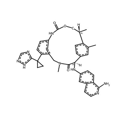 Cc1cc2ccc1[C@@H](C)COC(=O)Nc1ccc(C3(c4ncn[nH]4)CC3)c(c1)CN(C)C(=O)[C@@H]2Nc1ccc2c(N)nccc2c1